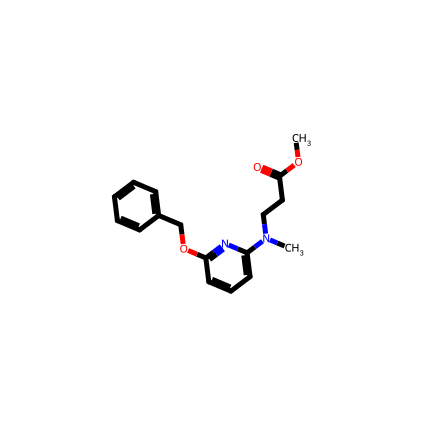 COC(=O)CCN(C)c1cccc(OCc2ccccc2)n1